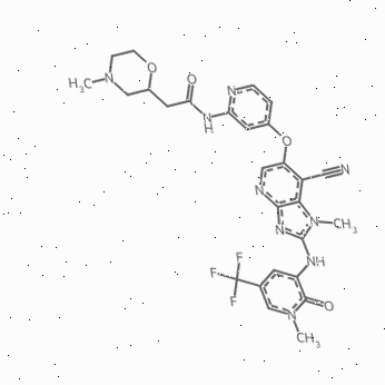 CN1CCOC(CC(=O)Nc2cc(Oc3cnc4nc(Nc5cc(C(F)(F)F)cn(C)c5=O)n(C)c4c3C#N)ccn2)C1